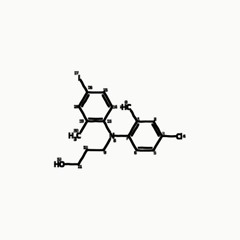 [CH]c1cc(Cl)ccc1N(CCCO)c1ccc(I)cc1C